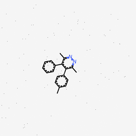 Cc1ccc(-c2c(C)nnc(C)c2-c2ccccc2)cc1